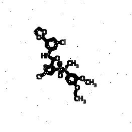 CCOc1ccc(N(C)S(=O)(=O)c2cc(Cl)sc2C(=O)Nc2cc(Cl)cc(C3OCCO3)c2)cc1OC